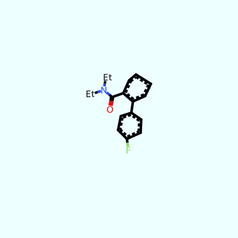 CCN(CC)C(=O)c1ccccc1-c1ccc(F)cc1